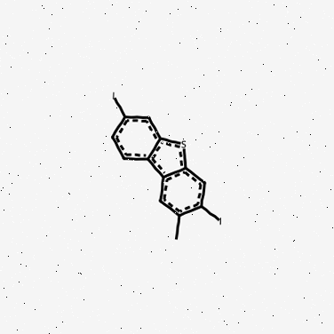 Cc1cc2c(cc1I)sc1cc(I)ccc12